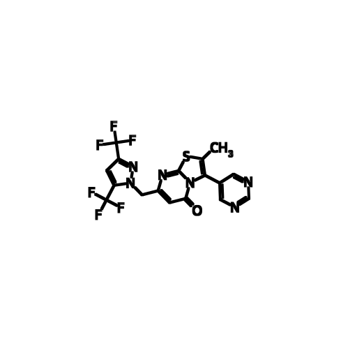 Cc1sc2nc(Cn3nc(C(F)(F)F)cc3C(F)(F)F)cc(=O)n2c1-c1cncnc1